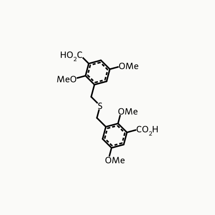 COc1cc(CSCc2cc(OC)cc(C(=O)O)c2OC)c(OC)c(C(=O)O)c1